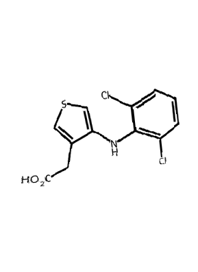 O=C(O)Cc1cscc1Nc1c(Cl)cccc1Cl